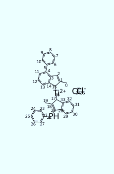 CC1=Cc2c(-c3ccccc3)cccc2[CH]1[Ti+2][CH]1C(C)=C(Pc2ccccc2)c2ccccc21.[Cl-].[Cl-]